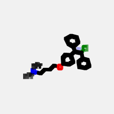 CCCN(CCC)CCCCOc1ccc(/C(=C(/Cl)c2ccccc2)c2ccccc2)cc1